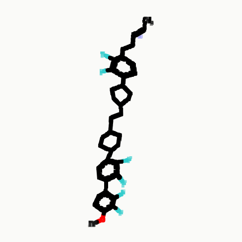 C/C=C/CCc1ccc(C2CCC(CCC3CCC(c4ccc(-c5ccc(OCC)c(F)c5F)c(F)c4F)CC3)CC2)c(F)c1F